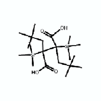 CC(C)(C)CC(C(=O)O)(C(CC(C)(C)C)(C(=O)O)[Si](C)(C)C)[Si](C)(C)C